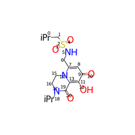 CC(C)CS(=O)(=O)NCc1cc(=O)c(O)c2n1CCN(C(C)C)C2=O